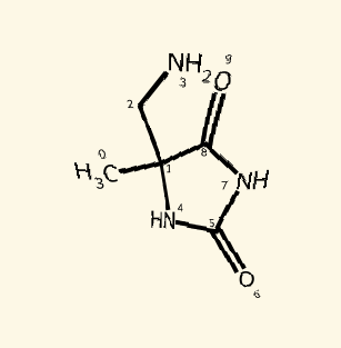 CC1(CN)NC(=O)NC1=O